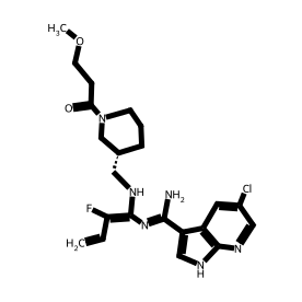 C=C/C(F)=C(\N=C(/N)c1c[nH]c2ncc(Cl)cc12)NC[C@H]1CCCN(C(=O)CCOC)C1